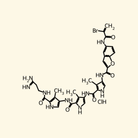 C=C(Br)C(=O)Nc1ccc2oc(C(=O)Nc3c[nH]c(C(=O)Nc4c[nH]c(C(=O)Nc5c[nH]c(C(=O)NCCC(=N)N)c5C)c4C)c3C)cc2c1.Cl